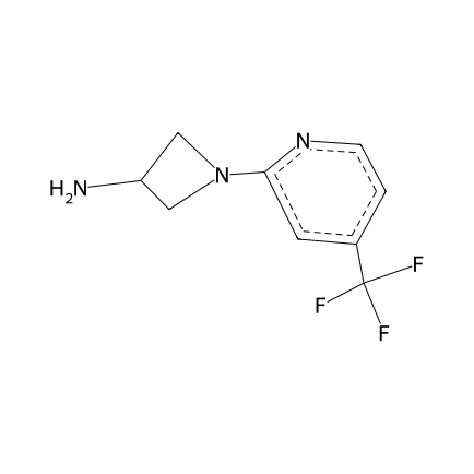 NC1CN(c2cc(C(F)(F)F)ccn2)C1